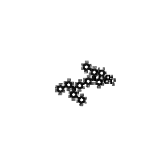 CC1(C)c2ccccc2-c2c(N(c3ccc(-c4ccc(N(c5cccc(-c6ccccc6)c5)c5cccc(-c6ccccc6)c5)cc4)cc3)c3cccc(-c4ccccc4)c3)cccc21